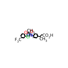 CC(CC(=O)O)c1ccc(NC(=O)C(C)(C)Oc2ccc(C(F)(F)F)cc2Cl)cc1